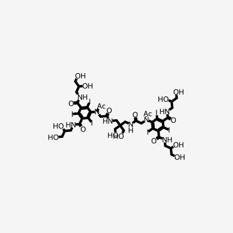 CC(=O)N(CC(=O)NCC(CO)(CO)CNC(=O)CN(C(C)=O)c1c(I)c(C(=O)NCC(O)CO)c(I)c(C(=O)NCC(O)CO)c1I)c1c(I)c(C(=O)NCC(O)CO)c(I)c(C(=O)NCC(O)CO)c1I